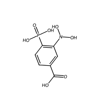 O=C(O)c1ccc(P(=O)(O)O)c(N(O)O)c1